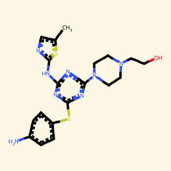 Cc1cnc(Nc2nc(Sc3ccc(N)cc3)nc(N3CCN(CCO)CC3)n2)s1